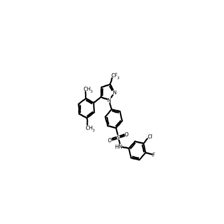 Cc1ccc(C)c(-c2cc(C(F)(F)F)nn2-c2ccc(S(=O)(=O)Nc3ccc(F)c(Cl)c3)cc2)c1